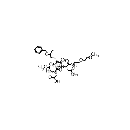 COCCOCCNC(=O)[C@H](CC(=O)O)NC(=O)[C@@H](CCC(=O)OCc1ccccc1)NC(=O)[C@H](CC(=O)O)NC(C)=O